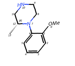 COc1ccccc1N1CCNC[C@H]1C